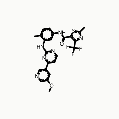 COc1cncc(-c2ccnc(Nc3cc(NC(=O)c4sc(C)nc4C(F)(F)F)ccc3C)n2)c1